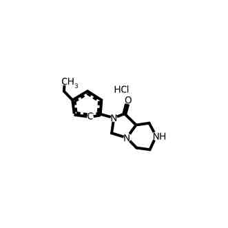 CCc1ccc(N2CN3CCNCC3C2=O)cc1.Cl